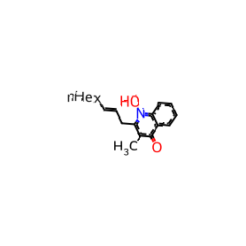 CCCCCCC=CCc1c(C)c(=O)c2ccccc2n1O